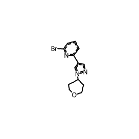 Brc1cccc(-c2cnn(C3CCOCC3)c2)n1